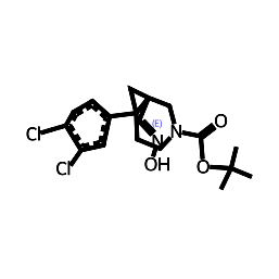 CC(C)(C)OC(=O)N1CCC2(c3ccc(Cl)c(Cl)c3)CC2(/C=N/O)C1